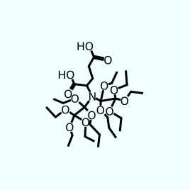 CCCOC(OCC)(N(C(CCC(=O)O)C(=O)O)C(OCC)(OCCC)C(OCC)(OCC)OCC)C(OCC)(OCC)OCC